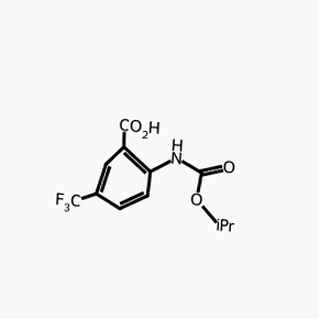 CC(C)OC(=O)Nc1ccc(C(F)(F)F)cc1C(=O)O